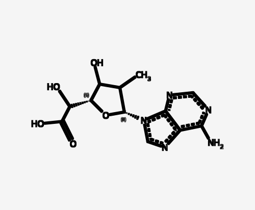 CC1C(O)[C@@H](C(O)C(=O)O)O[C@H]1n1cnc2c(N)ncnc21